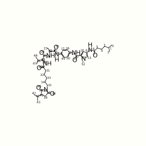 CC(C)CCCC(=O)Nc1cc(C(=O)Nc2ccc(NC(=O)[C@H](C)NC(=O)[C@@H](NC(=O)CCCCCN3C(=O)CC(C(C)C)C3=O)C(C)C)cc2)n(C)c1